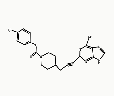 Cc1ccc(OC(=O)N2CCC(CC#Cc3nc(N)c4nc[nH]c4n3)CC2)cc1